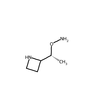 C[C@@H](ON)C1CCN1